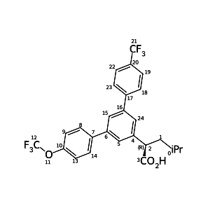 CC(C)C[C@@H](C(=O)O)c1cc(-c2ccc(OC(F)(F)F)cc2)cc(-c2ccc(C(F)(F)F)cc2)c1